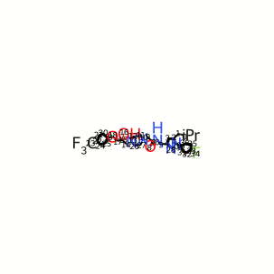 CC(C)Cc1cc(CNC(=O)CN2CCN(C[C@H](O)COc3ccc(C(F)(F)F)cc3)CC2)nn1-c1ccc(F)cc1